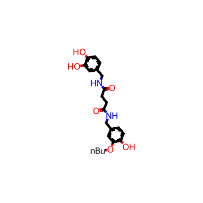 CCCCOc1cc(CNC(=O)CCC(=O)NCc2ccc(O)c(O)c2)ccc1O